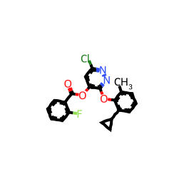 Cc1cccc(C2CC2)c1Oc1nnc(Cl)cc1OC(=O)c1ccccc1F